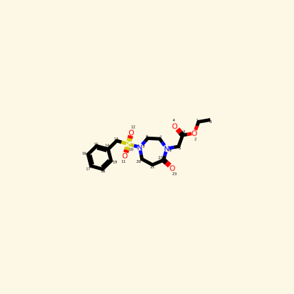 CCOC(=O)CN1CCN(S(=O)(=O)Cc2ccccc2)CCC1=O